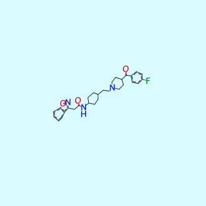 O=C(Cc1noc2ccccc12)NC1CCC(CCN2CCC(C(=O)c3ccc(F)cc3)CC2)CC1